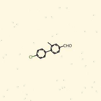 Cc1cc(C=O)ccc1-c1ccc(Cl)cc1